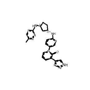 Cc1cnc(N[C@H]2CC[C@H](Nc3ccc(-n4cccc(-c5c[nH]nn5)c4=O)cn3)C2)nn1